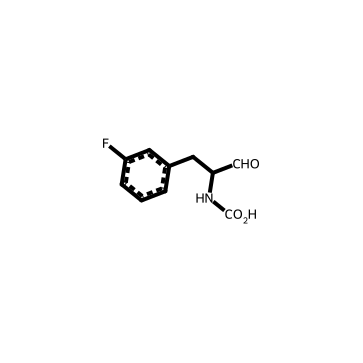 O=CC(Cc1cccc(F)c1)NC(=O)O